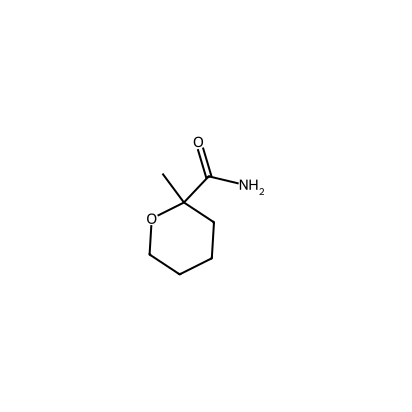 CC1(C(N)=O)CCCCO1